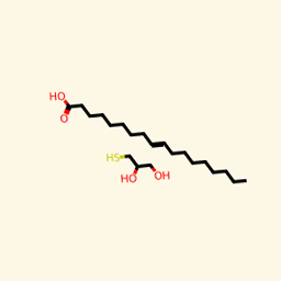 CCCCCCCCC=CCCCCCCCC(=O)O.OCC(O)CS